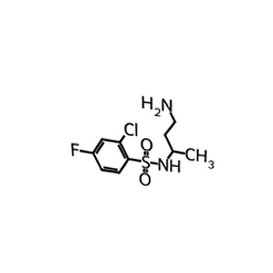 CC(CCN)NS(=O)(=O)c1ccc(F)cc1Cl